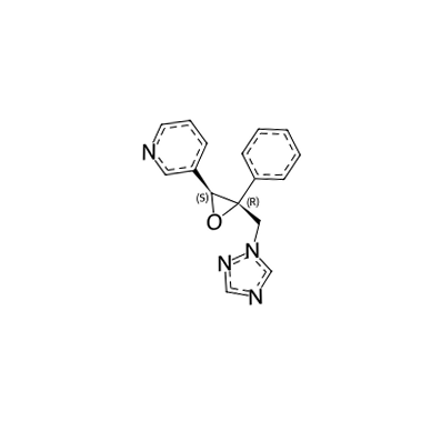 c1ccc([C@]2(Cn3cncn3)O[C@H]2c2cccnc2)cc1